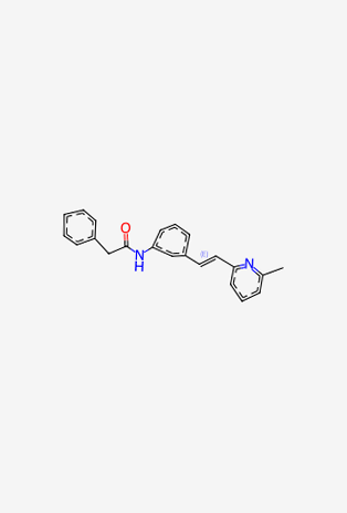 Cc1cccc(/C=C/c2cccc(NC(=O)Cc3ccccc3)c2)n1